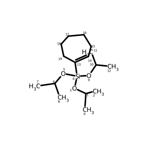 CC(C)O[Si](OC(C)C)(OC(C)C)C1=CCCCCC1